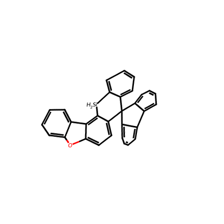 c1ccc2c(c1)[SiH2]c1c(ccc3oc4ccccc4c13)C21c2ccccc2-c2ccccc21